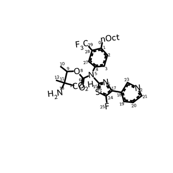 CCCCCCCCc1ccc(N(C(=O)OC(C)C(C)(N)C(=O)O)c2nc(-c3cccnc3)c(F)s2)cc1C(F)(F)F